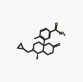 Cc1ccc(C(N)=O)cc1[C@]12CCN(CC3CC3)[C@H](C)C1CCC(=O)C2